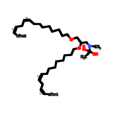 CCCCC/C=C\C/C=C\CCCCCCCCOCC(CN(C)C(C)(O)O)OCCCCCCCC/C=C\C/C=C\CCCCC